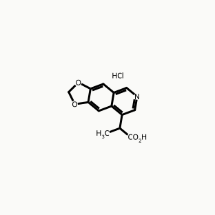 CC(C(=O)O)c1cncc2cc3c(cc12)OCO3.Cl